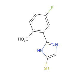 O=C(O)c1ccc(F)cc1-c1ncc(S)[nH]1